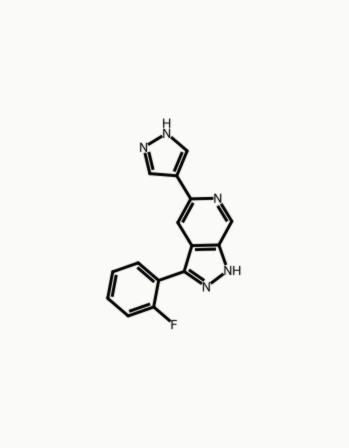 Fc1ccccc1-c1n[nH]c2cnc(-c3cn[nH]c3)cc12